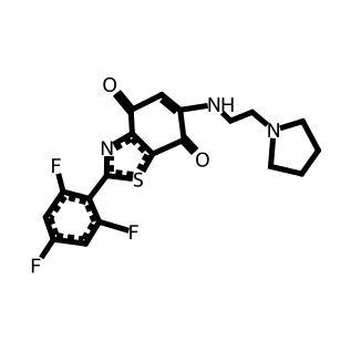 O=C1C=C(NCCN2CCCC2)C(=O)c2sc(-c3c(F)cc(F)cc3F)nc21